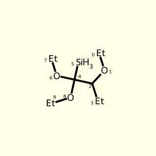 CCOC(CC)C([SiH3])(OCC)OCC